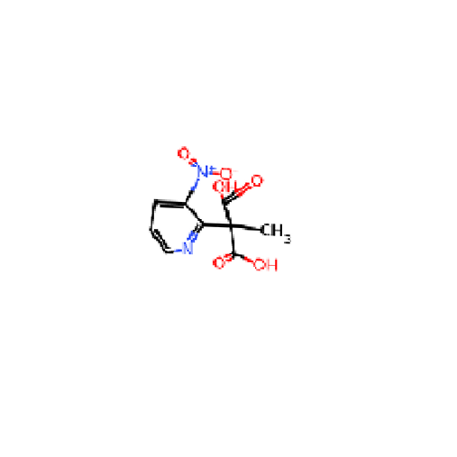 CC(C(=O)O)(C(=O)O)c1ncccc1[N+](=O)[O-]